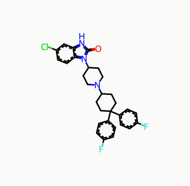 O=c1[nH]c2cc(Cl)ccc2n1C1CCN(C2CCC(c3ccc(F)cc3)(c3ccc(F)cc3)CC2)CC1